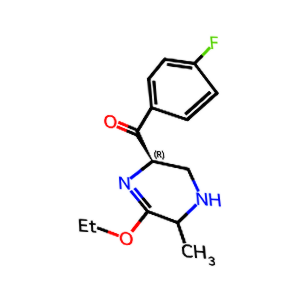 CCOC1=N[C@@H](C(=O)c2ccc(F)cc2)CNC1C